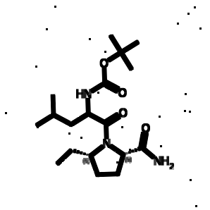 CC[C@H]1CC[C@@H](C(N)=O)N1C(=O)C(CC(C)C)NC(=O)OC(C)(C)C